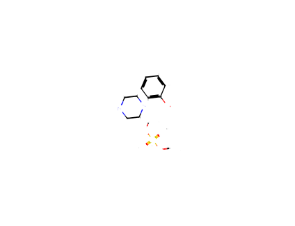 C1CNCCN1.COS(=O)(=O)OC.Oc1ccccc1